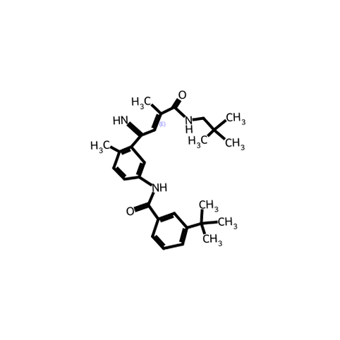 C/C(=C\C(=N)c1cc(NC(=O)c2cccc(C(C)(C)C)c2)ccc1C)C(=O)NCC(C)(C)C